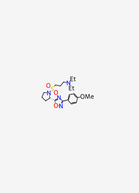 CCN(CC)CCCS(=O)(=O)N1CCC[C@H]1c1nc(-c2ccc(OC)cc2)no1